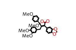 COc1ccc(C2(OC)OC(=O)C(c3ccc4c(c3)OCO4)=C2Cc2ccc(OC)c(OC)c2)cc1